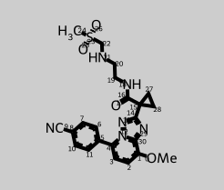 COc1ccc(-c2ccc(C#N)cc2)n2nc(C3(C(=O)NCCNCS(C)(=O)=O)CC3)nc12